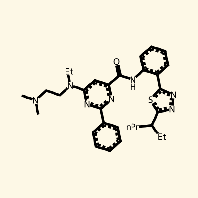 CCCC(CC)c1nnc(-c2ccccc2NC(=O)c2cc(N(CC)CCN(C)C)nc(-c3ccccc3)n2)s1